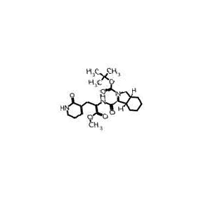 COC(=O)C(CC1CCCNC1=O)NC(=O)[C@@H]1[C@H]2CCCC[C@H]2CN1C(=O)OC(C)(C)C